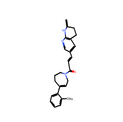 C=C1CCc2cc(/C=C/C(=O)N3CC=C(c4ccccc4OC)CCC3)cnc2N1